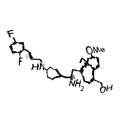 COc1ccc2c(CO)ccc(C[C@@H](N)C3CCC(NC/C=C/c4cc(F)ccc4F)CC3)c2n1